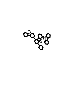 c1ccc(-c2ccc(-c3ccc4oc5ccccc5c4c3)c3c2sc2c(-n4c5ccccc5c5ccccc54)cccc23)cc1